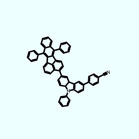 N#Cc1ccc(-c2ccc3c(c2)C2C=C(c4ccc5c6c(cccc46)-c4c-5c(-c5ccccc5)c5ccccc5c4-c4ccccc4)C=CC2N3c2ccccc2)cc1